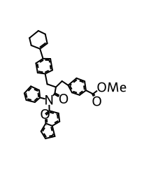 COC(=O)c1ccc(CC(Cc2ccc(C3=CCCCC3)cc2)C(=O)N(c2ccccc2)c2ccc3cccc-3o2)cc1